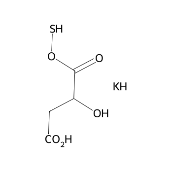 O=C(O)CC(O)C(=O)OS.[KH]